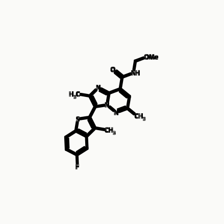 COCNC(=O)c1cc(C)nn2c(-c3sc4ccc(F)cc4c3C)c(C)nc12